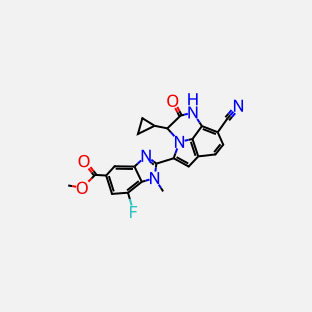 COC(=O)c1cc(F)c2c(c1)nc(-c1cc3ccc(C#N)c4c3n1C(C1CC1)C(=O)N4)n2C